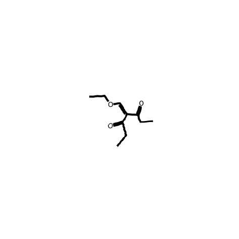 CCOC=C(C(=O)CC)C(=O)CC